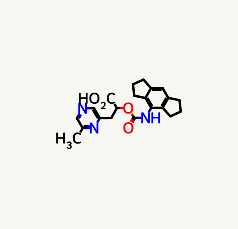 Cc1cncc(CC(OC(=O)Nc2c3c(cc4c2CCC4)CCC3)C(=O)O)n1